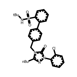 CCCCc1nn(-c2ccccc2Cl)c(=O)n1Cc1ccc(-c2ccccc2S(=O)(=O)NC(C)(C)C)cc1